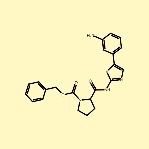 Nc1cccc(-c2cnc(NC(=O)C3CCCN3C(=O)OCc3ccccc3)s2)c1